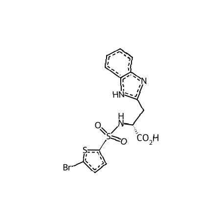 O=C(O)[C@@H](Cc1nc2ccccc2[nH]1)NS(=O)(=O)c1ccc(Br)s1